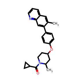 Cc1cc2cccnc2cc1-c1ccc(OC2CCN(C(=O)C3CC3)C(C)C2)cc1